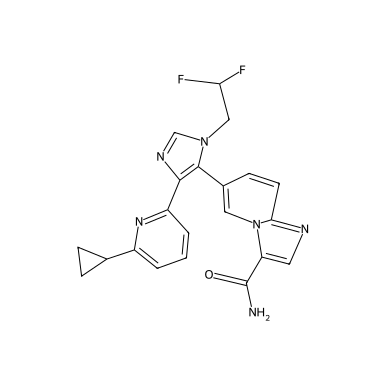 NC(=O)c1cnc2ccc(-c3c(-c4cccc(C5CC5)n4)ncn3CC(F)F)cn12